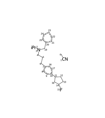 CC#N.CC(C)N(CCCc1ccc(C2CCC(F)C2)cc1)Cc1ccccc1